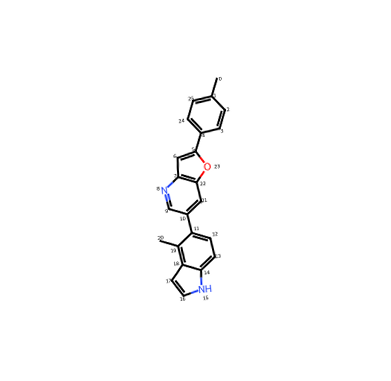 Cc1ccc(-c2cc3ncc(-c4ccc5[nH]ccc5c4C)[c]c3o2)cc1